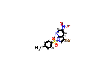 Cc1ccc(S(=O)(=O)n2cc(Br)c3cc([N+](=O)[O-])cnc32)cc1